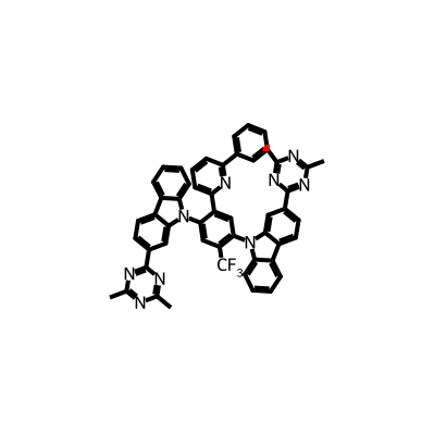 Cc1nc(C)nc(-c2ccc3c4ccccc4n(-c4cc(C(F)(F)F)c(-n5c6ccccc6c6ccc(-c7nc(C)nc(C)n7)cc65)cc4-c4cccc(-c5ccccc5)n4)c3c2)n1